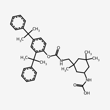 CC1(C)CC(NC(=O)O)CC(C)(CNC(=O)Oc2ccc(C(C)(C)c3ccccc3)cc2C(C)(C)c2ccccc2)C1